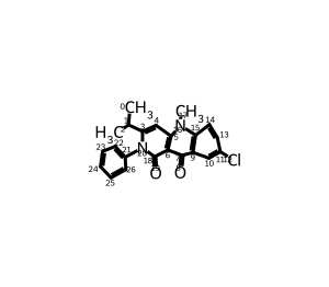 CC(C)c1cc2c(c(=O)c3cc(Cl)ccc3n2C)c(=O)n1-c1ccccc1